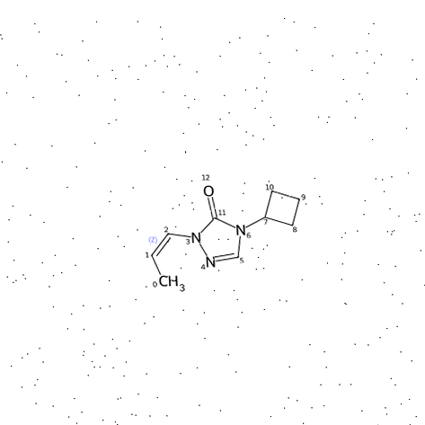 C/C=C\n1ncn(C2CCC2)c1=O